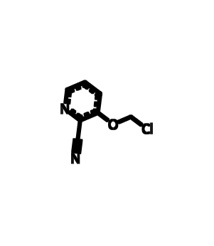 N#Cc1ncccc1OCCl